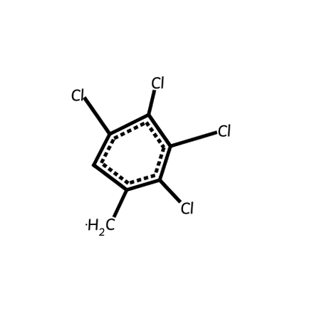 [CH2]c1cc(Cl)c(Cl)c(Cl)c1Cl